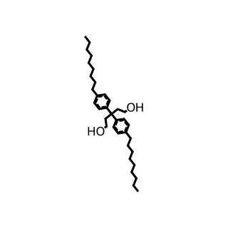 CCCCCCCCCc1ccc(C(CCO)(CCO)c2ccc(CCCCCCCCC)cc2)cc1